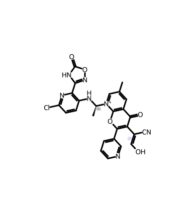 Cc1cc2c(=O)c(/C(C#N)=C/O)c(-c3cccnc3)oc2[n+]([C@@H](C)Nc2ccc(Cl)nc2-c2noc(=O)[nH]2)c1